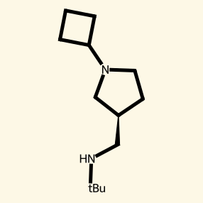 CC(C)(C)NC[C@@H]1CCN(C2CCC2)C1